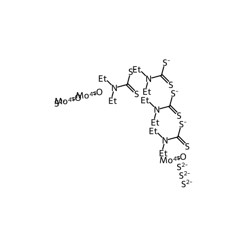 CCN(CC)C(=S)[S-].CCN(CC)C(=S)[S-].CCN(CC)C(=S)[S-].CCN(CC)C(=S)[S-].[O]=[Mo+4].[O]=[Mo+4].[O]=[Mo+4].[S-2].[S-2].[S-2].[S-2]